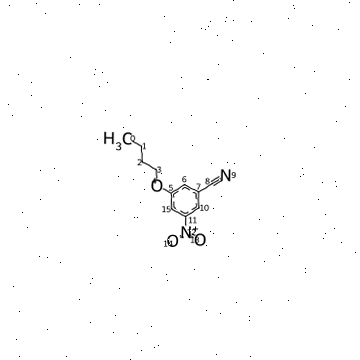 CCCCOc1cc(C#N)cc([N+](=O)[O-])c1